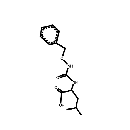 CC(C)CC(NC(=O)NOCc1ccccc1)C(=O)O